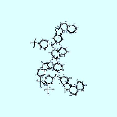 CC(C)(C)c1ccc(N(c2ccc3c(c2)oc2ccc4ccccc4c23)c2cc3c(c4ccccc24)c2ccc(N(c4cccc(C(C)(C)C)c4)c4ccc5c(c4)oc4ccc6ccccc6c45)c4c5c6cc(C(C)(C)C)ccc6oc5n3c24)cc1